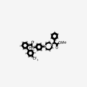 COC(=O)C(c1ccccc1)N1CCCN(c2ccc(NC(=O)c3ccccc3-c3ccc(C(F)(F)F)cc3)cc2)CC1